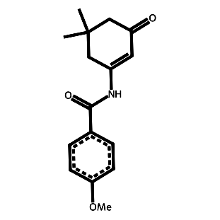 COc1ccc(C(=O)NC2=CC(=O)CC(C)(C)C2)cc1